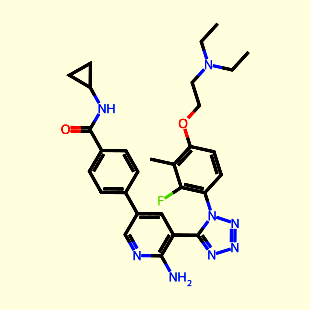 CCN(CC)CCOc1ccc(-n2nnnc2-c2cc(-c3ccc(C(=O)NC4CC4)cc3)cnc2N)c(F)c1C